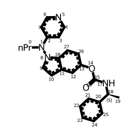 CCCN(c1ccncc1)n1ccc2cc(OC(=O)N[C@@H](C)c3ccccc3)ccc21